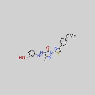 COc1ccc(-c2csc(N3N=C(C)C(/N=N/c4cccc(CO)c4)C3=O)n2)cc1